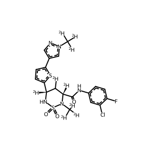 [2H]C1[C@]([2H])(C(=O)Nc2ccc(F)c(Cl)c2)N(C([2H])([2H])[2H])S(=O)(=O)N[C@]1([2H])c1ccc(-c2cnn(C([2H])([2H])[2H])c2)s1